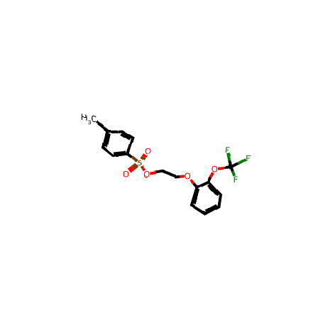 Cc1ccc(S(=O)(=O)OCCOc2ccccc2OC(F)(F)F)cc1